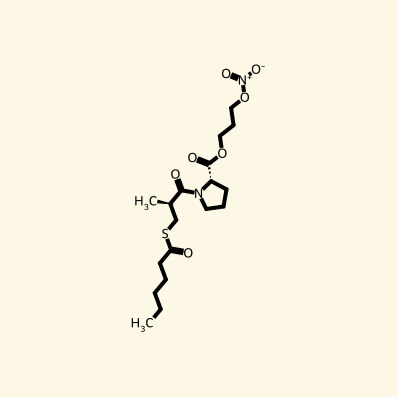 CCCCCC(=O)SC[C@@H](C)C(=O)N1CCC[C@H]1C(=O)OCCCO[N+](=O)[O-]